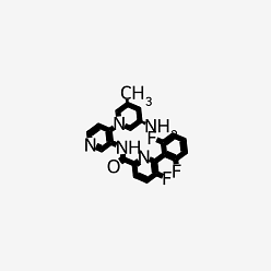 C[C@H]1C[C@@H](N)CN(c2ccncc2NC(=O)c2ccc(F)c(-c3c(F)cccc3F)n2)C1